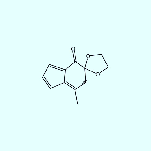 CC1=C2C=CC=C2C(=O)C2(OCCO2)C12CCC2